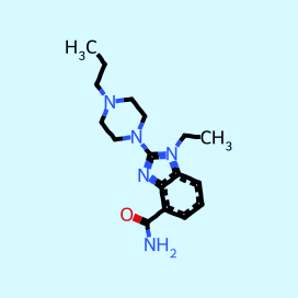 CCCN1CCN(c2nc3c(C(N)=O)cccc3n2CC)CC1